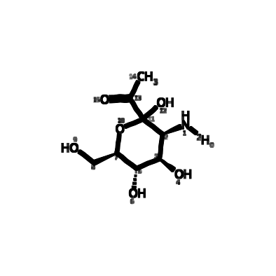 [2H]N[C@H]1[C@@H](O)[C@H](O)[C@@H](CO)OC1(O)C(C)=O